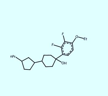 CCCC1CCC(C2CCC(O)(c3ccc(OCC)c(F)c3F)CC2)C1